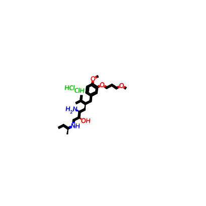 CC[C@H](C)NC[C@H](O)[C@@H](N)C[C@H](Cc1ccc(OC)c(OCCCOC)c1)C(C)C.Cl.Cl